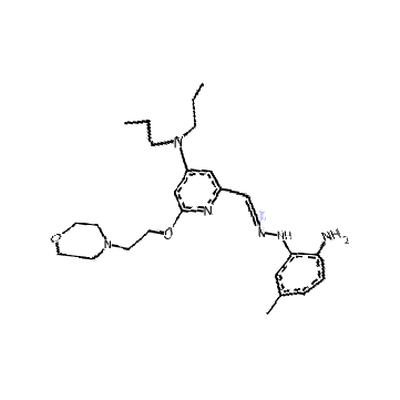 CCCN(CCC)c1cc(/C=N/Nc2cc(C)ccc2N)nc(OCCN2CCOCC2)c1